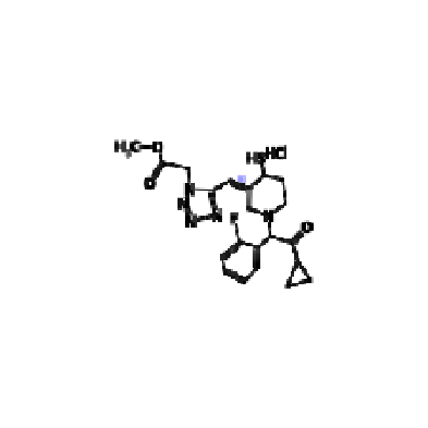 COC(=O)Cn1nnnc1/C=C1\CN(C(C(=O)C2CC2)c2ccccc2F)CCC1S.Cl